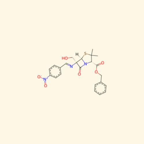 CC1(C)S[C@H]2N(C(=O)[C@@]2(CO)/N=C/c2ccc([N+](=O)[O-])cc2)[C@H]1C(=O)OCc1ccccc1